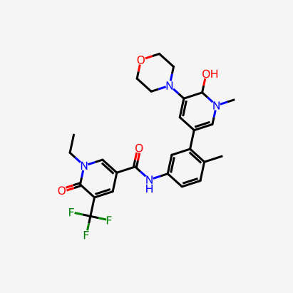 CCn1cc(C(=O)Nc2ccc(C)c(C3=CN(C)C(O)C(N4CCOCC4)=C3)c2)cc(C(F)(F)F)c1=O